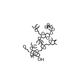 C=C1CC(CC[C@]23C[C@@H](O)C(O2)[C@H]2CC(O3)C(O[Si](CC)(CC)CC)[C@H](CCC=O)O2)OC1CCC1CC(C)C(=C)C(C[C@@H]2OC3CC(O[Si](CC)(CC)CC)C(CCO[Si](CC)(CC)CC)OC3[C@H](C)C2OC(=O)CP(=O)(OC)OC)O1